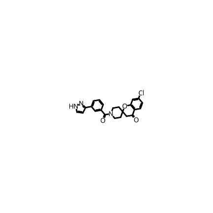 O=C1CC2(CCN(C(=O)c3cccc(-c4cc[nH]n4)c3)CC2)Oc2cc(Cl)ccc21